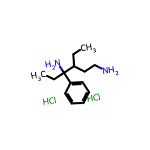 CCC(CCN)C(N)(CC)c1ccccc1.Cl.Cl